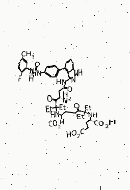 CCC(CC)(N[C@@H](CCC(=O)O)C(=O)O)C(=O)CC[C@H](NC(CC)(CC)C(=O)[C@@H](N)CC(=O)Nc1n[nH]c2cccc(-c3ccc(NC(=O)Nc4cc(C)ccc4F)cc3)c12)C(=O)O